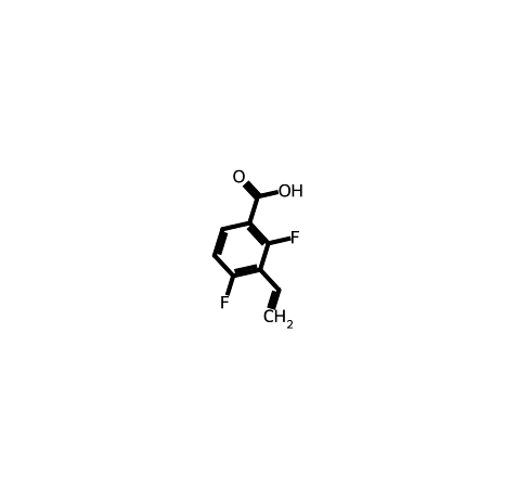 C=Cc1c(F)ccc(C(=O)O)c1F